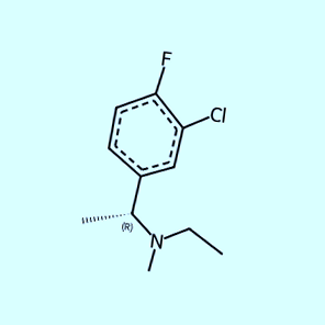 CCN(C)[C@H](C)c1ccc(F)c(Cl)c1